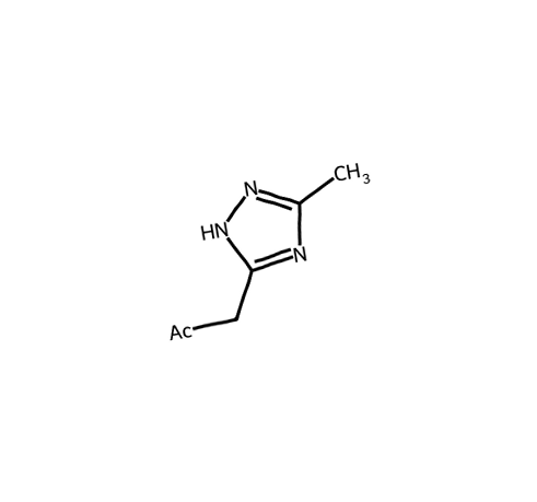 CC(=O)Cc1nc(C)n[nH]1